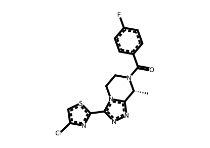 C[C@@H]1c2nnc(-c3nc(Cl)cs3)n2CCN1C(=O)c1ccc(F)cc1